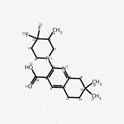 CC1CN(c2nc3c(cc2C(=O)O)CCC(C)(C)C3)CCC1(F)F